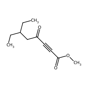 CCC(CC)CC(=O)C#CC(=O)OC